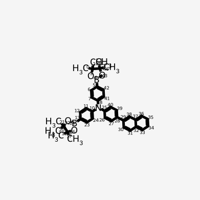 CC1(C)OB(c2ccc(N(c3ccc(B4OC(C)(C)C(C)(C)O4)cc3)c3ccc(-c4ccc5ccccc5c4)cc3)cc2)OC1(C)C